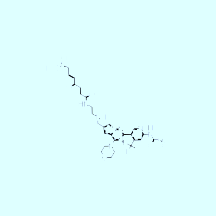 COC(=O)Nc1cc(C(F)(F)F)c(-c2nc(N3CCOCC3)c3cc(CNCCNC(=O)CCC(=O)/C=C/CN(C)C)cn3n2)cn1